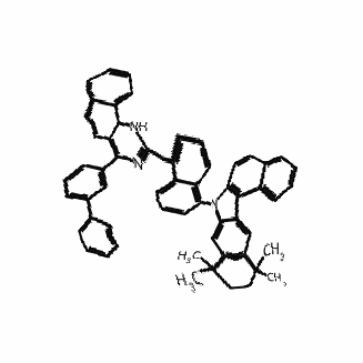 CC1(C)CCC(C)(C)c2cc3c(cc21)c1c2ccccc2ccc1n3-c1cccc2c(C3=NC(c4cccc(-c5ccccc5)c4)=C4C=Cc5ccccc5C4N3)cccc12